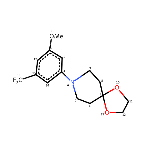 COc1cc(N2CCC3(CC2)OCCO3)cc(C(F)(F)F)c1